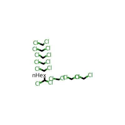 CCCCCCC(Cl)Cl.ClCCl.ClCCl.ClCCl.ClCCl.ClCCl.ClCCl.ClCCl.ClCCl